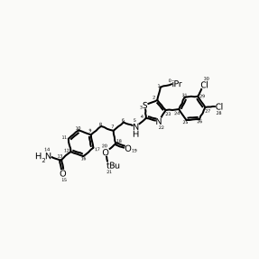 CC(C)Cc1sc(NCC(Cc2ccc(C(N)=O)cc2)C(=O)OC(C)(C)C)nc1-c1ccc(Cl)c(Cl)c1